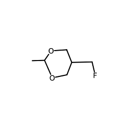 CC1OCC(CF)CO1